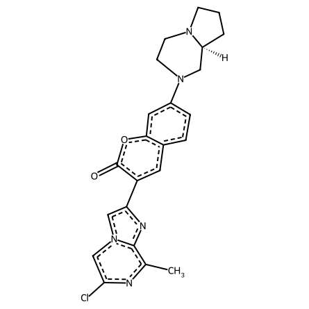 Cc1nc(Cl)cn2cc(-c3cc4ccc(N5CCN6CCC[C@H]6C5)cc4oc3=O)nc12